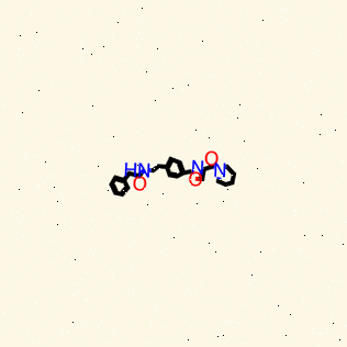 O=C(Cc1ccccc1)NCCc1ccc(-c2nc(C(=O)N3CCCCC3)co2)cc1